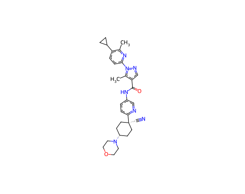 Cc1nc(-n2ncc(C(=O)Nc3ccc([C@]4(C#N)CC[C@@H](N5CCOCC5)CC4)nc3)c2C)ccc1C1CC1